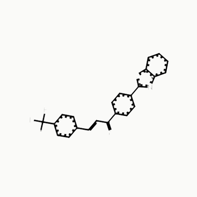 O=C(C=Cc1ccc(C(F)(F)F)cc1)c1ccc(-c2nc3ccccc3s2)cc1